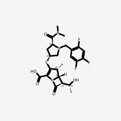 C[C@@H](O)[C@H]1C(=O)N2C(C(=O)O)=C(S[C@H]3C[C@@H](C(=O)N(C)C)N(Cc4cc(F)c(F)cc4F)C3)[C@H](C)[C@H]12